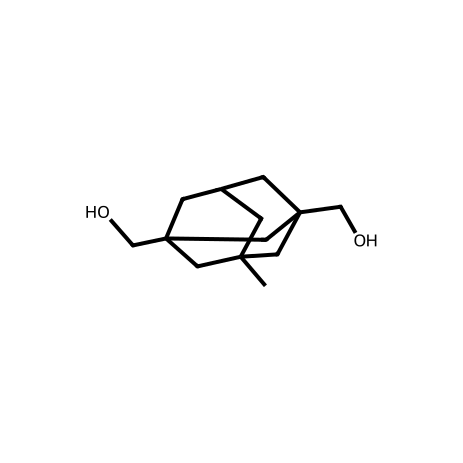 CC12C[C]3CC(CO)(C1)CC(CO)(C3)C2